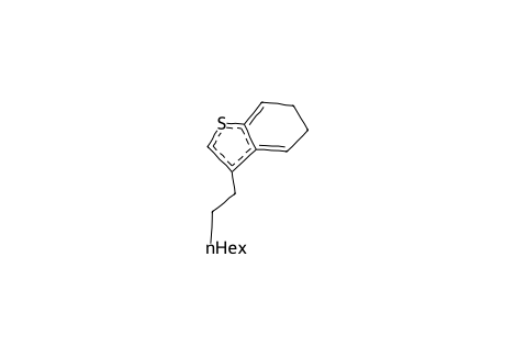 CCCCCCCCc1csc2c1=CCCC=2